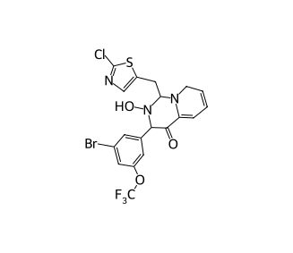 O=C1C2=CC=CCN2C(Cc2cnc(Cl)s2)N(O)C1c1cc(Br)cc(OC(F)(F)F)c1